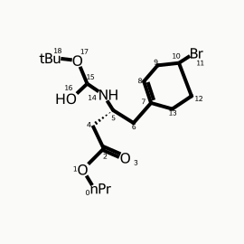 CCCOC(=O)C[C@@H](CC1=CCC(Br)CC1)NC(O)OC(C)(C)C